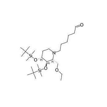 CCOC[C@@H]1[C@@H](O[Si](C)(C)C(C)(C)C)[C@H](O[Si](C)(C)C(C)(C)C)CCN1CCCCCC=O